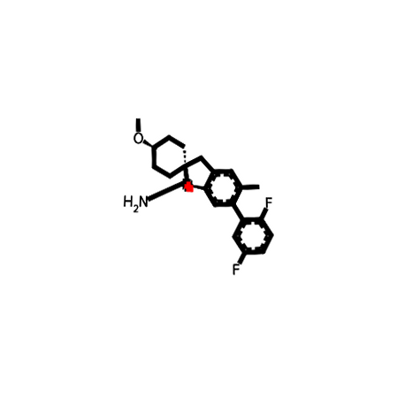 CO[C@H]1CC[C@]2(CC1)Cc1cc(C)c(-c3cc(F)ccc3F)cc1[C@@]21N=CC(N)=N1